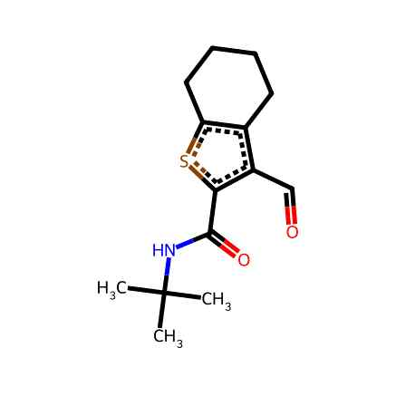 CC(C)(C)NC(=O)c1sc2c(c1C=O)CCCC2